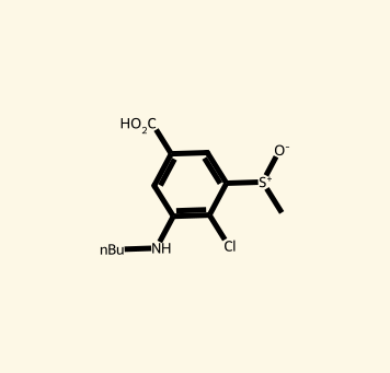 CCCCNc1cc(C(=O)O)cc([S+](C)[O-])c1Cl